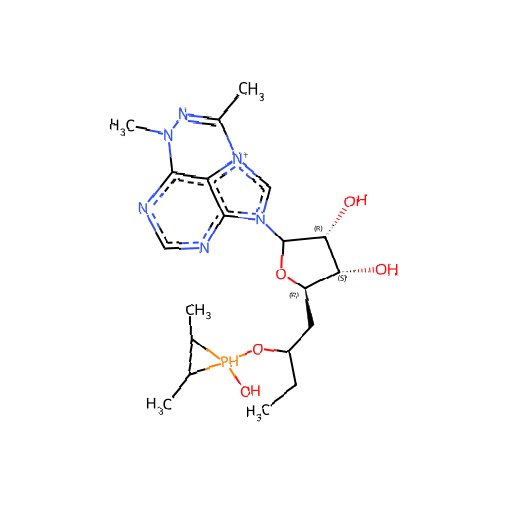 CCC(C[C@H]1OC(n2c[n+]3c4c(ncnc42)N(C)N=C3C)[C@H](O)[C@@H]1O)O[PH]1(O)C(C)C1C